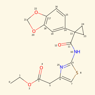 CCOC(=O)Cc1csc(NC(=O)C2(c3ccc4c(c3)OCO4)CC2)n1